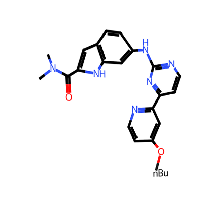 CCCCOc1ccnc(-c2ccnc(Nc3ccc4cc(C(=O)N(C)C)[nH]c4c3)n2)c1